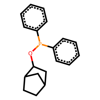 c1ccc(P(OC2CC3CCC2C3)c2ccccc2)cc1